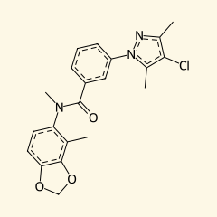 Cc1nn(-c2cccc(C(=O)N(C)c3ccc4c(c3C)OCO4)c2)c(C)c1Cl